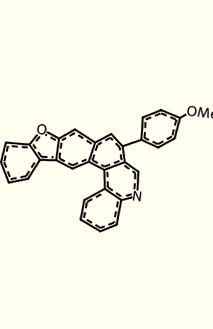 COc1ccc(-c2cc3cc4oc5ccccc5c4cc3c3c2cnc2ccccc23)cc1